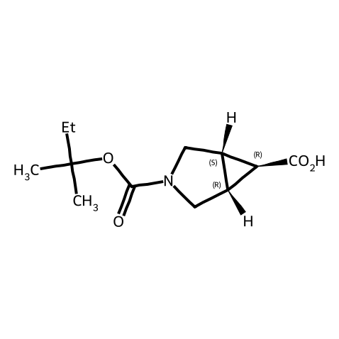 CCC(C)(C)OC(=O)N1C[C@@H]2[C@H](C1)[C@H]2C(=O)O